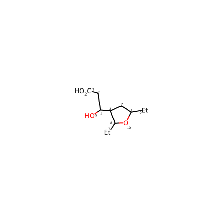 CCC1CC(C(O)CC(=O)O)C(CC)O1